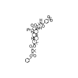 CC(C)C1=C2[C@H]3CC[C@@H]4[C@@]5(C)CC[C@H](OC(=O)[C@H]6C[C@@H](C(=O)OCc7ccccc7)C6(C)C)C(C)(C)C5CC[C@@]4(C)[C@]3(C)CC[C@@]2(NC(=O)C(C)(C)NC(=O)c2ccc(S(C)(=O)=O)cc2)CC1=O